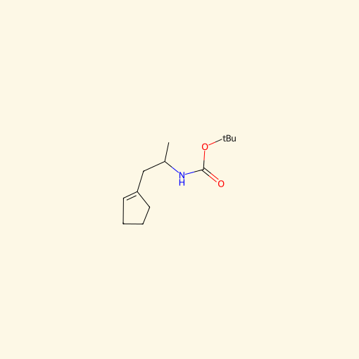 CC(CC1=CCCC1)NC(=O)OC(C)(C)C